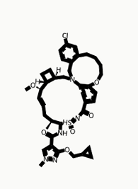 CO[C@H]1/C=C/C[C@H](C)C(NC(=O)c2cn(C)nc2OCC2CC2)/[SH](=O)=N\C(=O)c2ccc3c(c2)N(Cc2ccc(Cl)cc2CCCCO3)C[C@@H]2CC[C@H]21